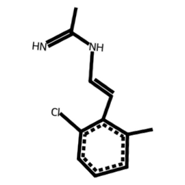 CC(=N)NC=Cc1c(C)cccc1Cl